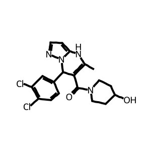 CC1=C(C(=O)N2CCC(O)CC2)C(c2ccc(Cl)c(Cl)c2)n2nccc2N1